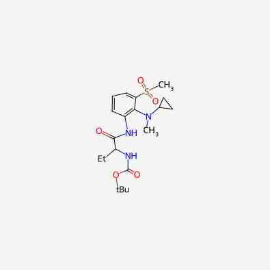 CCC(NC(=O)OC(C)(C)C)C(=O)Nc1cccc(S(C)(=O)=O)c1N(C)C1CC1